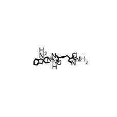 Nc1nccc(CC#Cc2cnc(N3CCC4(CC3)Cc3ccccc3[C@H]4N)[nH]c2=O)c1Cl